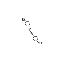 CCCc1ccc(C#C/C=C/[C@H]2CC[C@H](CC)CC2)cc1